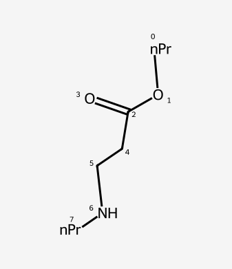 [CH2]CCOC(=O)CCNCCC